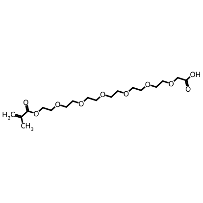 C=C(C)C(=O)OCCOCCOCCOCCOCCOCCOCC(=O)O